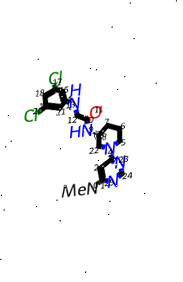 CNc1cc(N2CCC[C@@H](NC(=O)CNc3cc(Cl)cc(Cl)c3)C2)ncn1